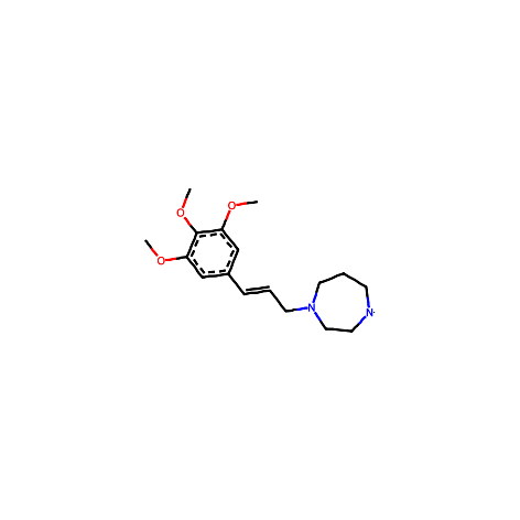 COc1cc(C=CCN2CCC[N]CC2)cc(OC)c1OC